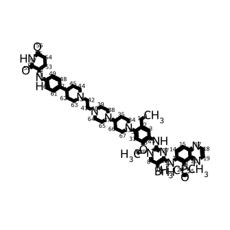 CCc1cc(Nc2ncc(Br)c(Nc3ccc4nccnc4c3P(C)(C)=O)n2)c(OC)cc1N1CCC(N2CCN(CCN3CCC(c4ccc(NC5CCC(=O)NC5=O)cc4)CC3)CC2)CC1